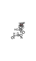 COc1c(CN2O[C@@H](CO)[C@@H]([C@H](C)O)[C@H]2C(=O)N[C@H]2C[C@H]3C[C@@H]([C@@H]2C)C3(C)C)cccc1-c1cc(C(=O)NCCNc2ccccn2)cc(N(C)C)c1